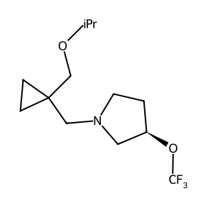 CC(C)OCC1(CN2CC[C@@H](OC(F)(F)F)C2)CC1